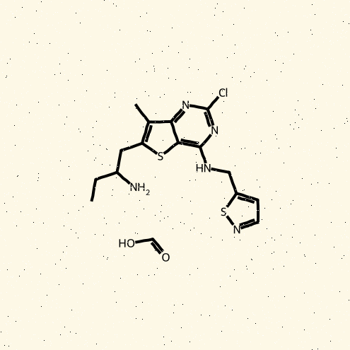 CCC(N)Cc1sc2c(NCc3ccns3)nc(Cl)nc2c1C.O=CO